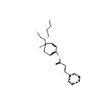 CCCC[C@H](CN)C1(C)C=CC(NC(=O)CCc2ccccc2)=CC1